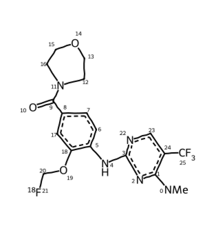 CNc1nc(Nc2ccc(C(=O)N3CCOCC3)cc2OC[18F])ncc1C(F)(F)F